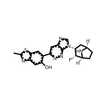 Cc1nc2cc(O)c(-c3cc4ncn([C@@H]5C[C@H]6CC[C@H](N6)[C@@H]5F)c4nn3)cc2s1